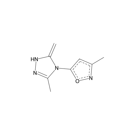 C=C1NN=C(C)N1c1cc(C)no1